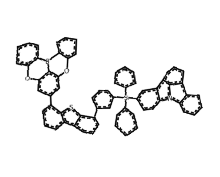 c1ccc([Si](c2ccccc2)(c2cccc(-c3cccc4c3sc3c(-c5cc6c7c(c5)Oc5ccccc5B7c5ccccc5O6)cccc34)c2)c2ccc3c(c2)c2cccc4c5ccccc5n3c42)cc1